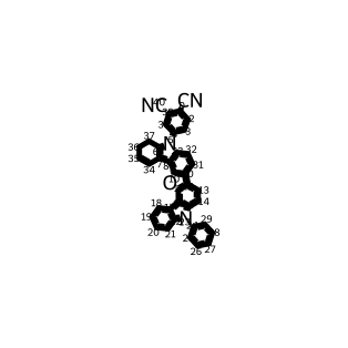 N#Cc1ccc(-n2c3c(c4c5oc6c(ccc7c6c6ccccc6n7-c6ccccc6)c5ccc42)C=CCC3)cc1C#N